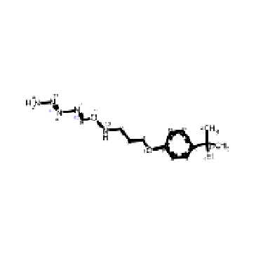 CCC(C)(C)c1ccc(OCCCNO/C=N/N=N/N)cc1